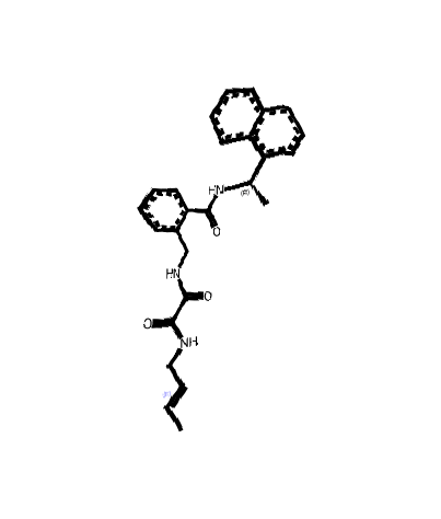 C/C=C/CNC(=O)C(=O)NCc1ccccc1C(=O)N[C@H](C)c1cccc2ccccc12